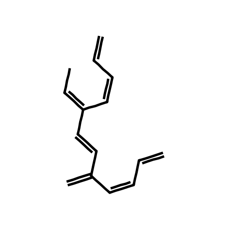 C=C/C=C\C(=C)/C=C/C(/C=C\C=C)=C/C